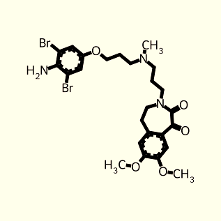 COc1cc2c(cc1OC)C(=O)C(=O)N(CCCN(C)CCCOc1cc(Br)c(N)c(Br)c1)CC2